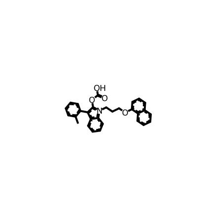 Cc1ccccc1-c1c(OC(=O)O)n(CCCOc2cccc3ccccc23)c2ccccc12